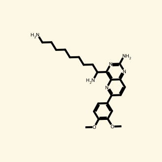 COc1ccc(-c2ccc3nc(N)nc(C(N)CCCCCCCCN)c3n2)cc1OC